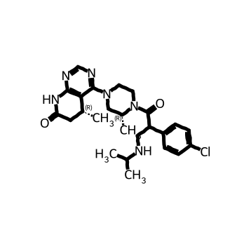 CC(C)NCC(C(=O)N1CCN(c2ncnc3c2[C@H](C)CC(=O)N3)C[C@H]1C)c1ccc(Cl)cc1